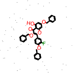 O=c1c(OCc2ccccc2)c(-c2ccc(OCc3ccccc3)c(F)c2)oc2cc(OCc3ccccc3)cc(O)c12